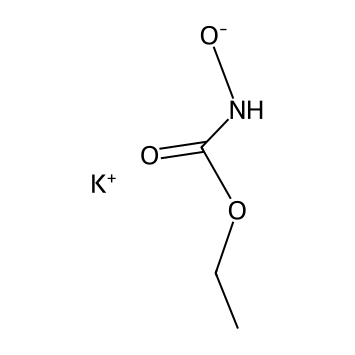 CCOC(=O)N[O-].[K+]